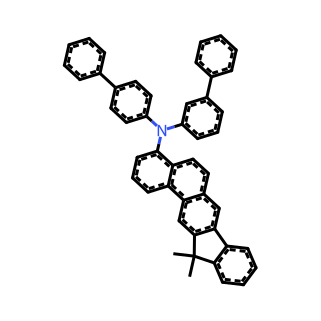 CC1(C)c2ccccc2-c2cc3ccc4c(N(c5ccc(-c6ccccc6)cc5)c5cccc(-c6ccccc6)c5)cccc4c3cc21